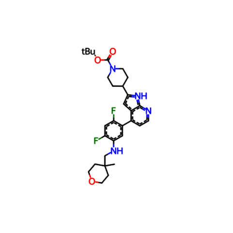 CC1(CNc2cc(-c3ccnc4[nH]c(C5CCN(C(=O)OC(C)(C)C)CC5)cc34)c(F)cc2F)CCOCC1